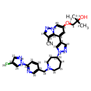 CC(C)(O)COc1cc(-c2cnn([C@H]3CCCN(Cc4ccc(-n5cc(F)cn5)nc4)CC3)c2)c2c(C#N)cnn2c1